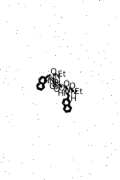 CCNC(=O)N(Cc1ccc2ccccc2c1)NOS(=O)(=O)COC(=O)N(NCc1ccc2ccccc2c1)C(=O)NCC